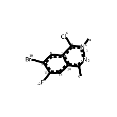 Cc1n[n+](C)c(Cl)c2cc(Br)c(F)cc12